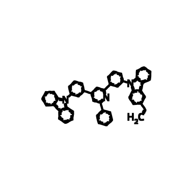 C=Cc1ccc2c(c1)c1ccccc1n2-c1cccc(-c2cc(-c3cccc(-n4c5ccccc5c5ccccc54)c3)cc(-c3ccccc3)n2)c1